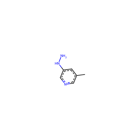 Cc1cncc(NN)c1